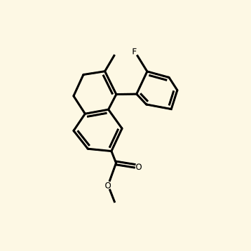 COC(=O)c1ccc2c(c1)C(c1ccccc1F)=C(C)CC2